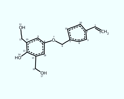 C=Cc1ccc(COc2cc(CO)c(O)c(CO)c2)cc1